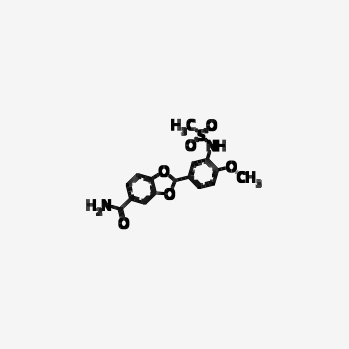 COc1ccc(C2Oc3ccc(C(N)=O)cc3O2)cc1NS(C)(=O)=O